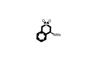 CN[C@@H]1CS(=O)(=O)Cc2ccccc21